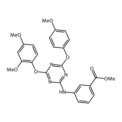 COC(=O)c1cccc(Nc2nc(Oc3ccc(OC)cc3)nc(Oc3ccc(OC)cc3OC)n2)c1